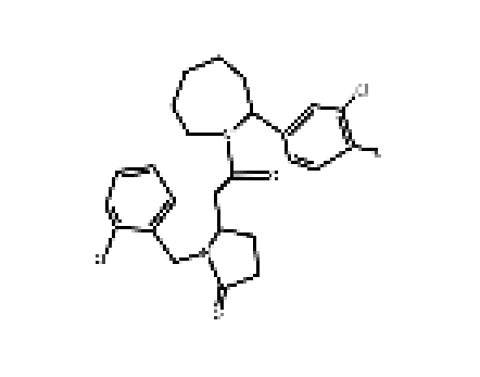 O=C1CCC(CC(=O)N2CCCCCC2c2ccc(Cl)c(Cl)c2)N1Cc1ccccc1Cl